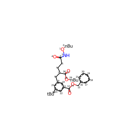 CCCCONC(=O)CCC(Cc1cc(C(=O)OCc2ccccc2)cc(C(C)(C)C)c1)C(=O)OCCCC